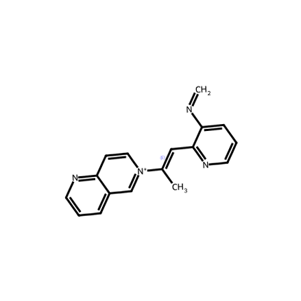 C=Nc1cccnc1/C=C(\C)[n+]1ccc2ncccc2c1